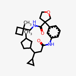 CC1CCC(C(CC(=O)Nc2cccc(C3(C(=O)NCC4(C)CCC4)CCOC3)c2)C2CC2)C1